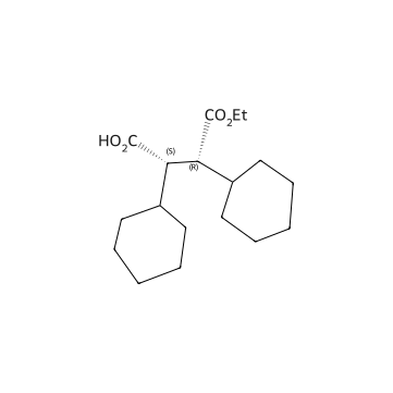 CCOC(=O)[C@H](C1CCCCC1)[C@@H](C(=O)O)C1CCCCC1